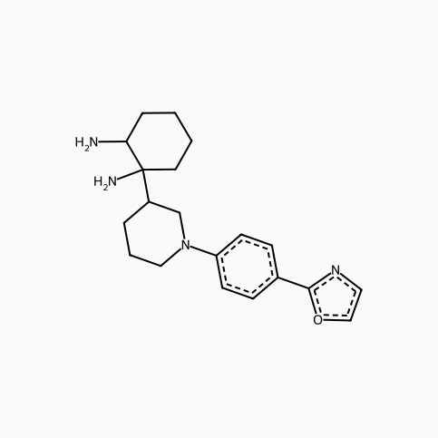 NC1CCCCC1(N)C1CCCN(c2ccc(-c3ncco3)cc2)C1